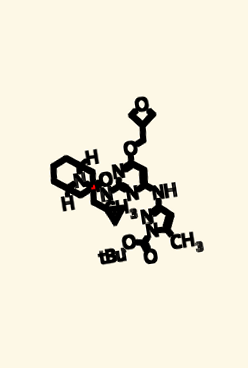 Cc1cc(Nc2cc(OCC3COC3)nc(N(C)[C@H]3C[C@H]4CCC[C@@H](C3)N4C(=O)CC3CC3)n2)nn1C(=O)OC(C)(C)C